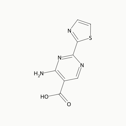 Nc1nc(-c2nccs2)ncc1C(=O)O